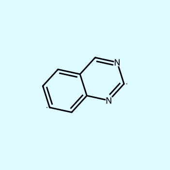 [c]1ccc2cn[c]nc2c1